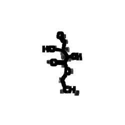 CCOC(=O)[C@H](O)[C@@H](O)C=O